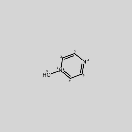 O[n+]1ccncc1